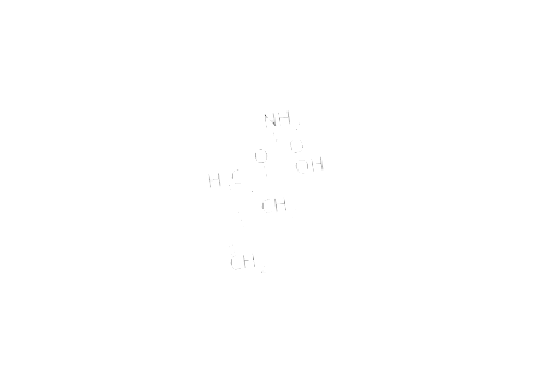 C=CCCC(C)(C)[C@@H](CO)OC(N)=O